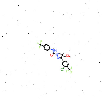 COCC1(C)CN(C(=O)Nc2ccc(C(F)(F)F)cc2)N=C1c1ccc(C(F)(F)F)c(Cl)c1